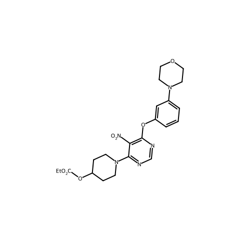 CCOC(=O)OC1CCN(c2ncnc(Oc3cccc(N4CCOCC4)c3)c2[N+](=O)[O-])CC1